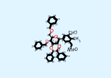 COCc1cc([C@@H]2O[C@H](COCc3ccccc3)[C@@H](OCc3ccccc3)[C@H](OCc3ccccc3)[C@H]2OCc2ccccc2)cc(C=O)c1C